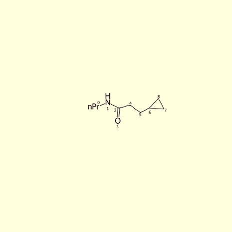 CCCNC(=O)CCC1CC1